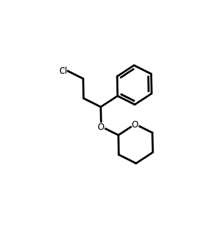 ClCCC(OC1CCCCO1)c1ccccc1